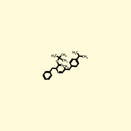 CC(/C=N\C(Cc1ccccc1)C(=O)OC(C)(C)C)Cc1ccc(C(C)C)cc1